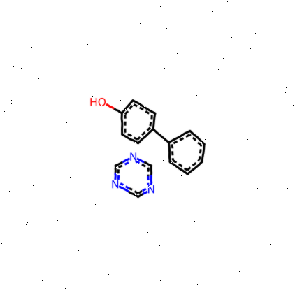 Oc1ccc(-c2ccccc2)cc1.c1ncncn1